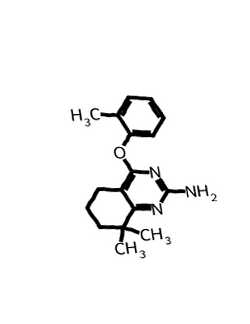 Cc1ccccc1Oc1nc(N)nc2c1CCCC2(C)C